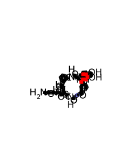 NCCOCCNC(=O)[C@@H]1CCNC(=O)/C=C/C(=O)N2CCC[C@](Cc3ccccc3)(C2)C(=O)N[C@@H](Cc2ccc(B(O)O)cc2)C(=O)NCc2ccccc2CC(=O)N1